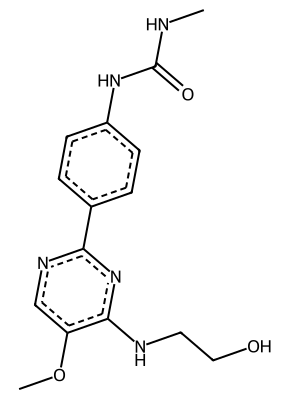 CNC(=O)Nc1ccc(-c2ncc(OC)c(NCCO)n2)cc1